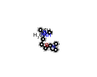 CN1C(c2ccccc2)NC(c2ccc(-c3cccc(-c4cccc5c4oc4ccc6c(c45)C=Cc4ccccc4N6c4ccccc4)c3)cc2)N(C)C1c1ccccc1